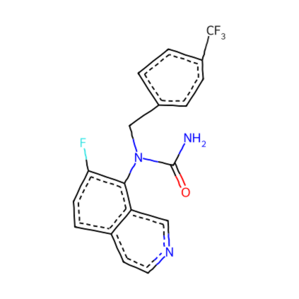 NC(=O)N(Cc1ccc(C(F)(F)F)cc1)c1c(F)ccc2ccncc12